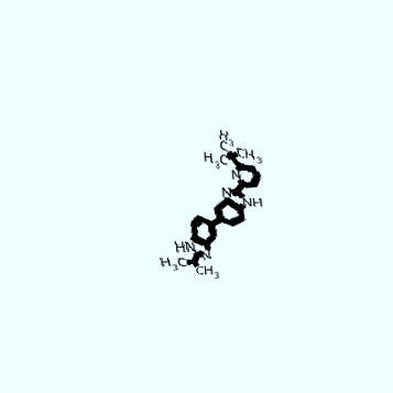 CC(C)c1nc2cc(-c3ccc4[nH]c(-c5cccc(C(C)(C)C)n5)nc4c3)ccc2[nH]1